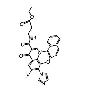 CCOC(=O)CCNC(=O)c1cn2c3c(c(-n4ccnc4)c(F)cc3c1=O)Oc1ccc3ccccc3c1-2